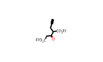 C#CCC(C(=O)CC(=O)OCC)C(=O)OCC